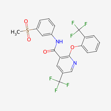 CS(=O)(=O)c1cccc(NC(=O)c2cc(C(F)(F)F)cnc2Oc2ccccc2C(F)(F)F)c1